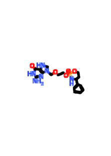 Nc1nc2c(c(=O)[nH]1)NCN2COCCOP1(=O)NC(c2ccccc2)CCO1